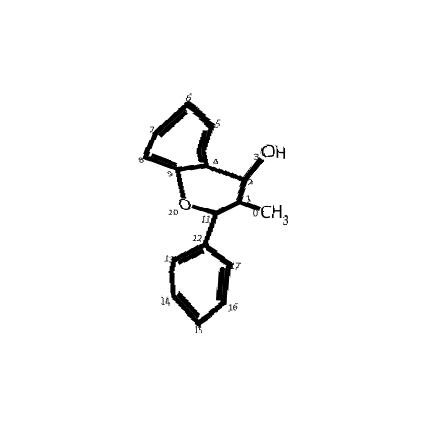 CC1C(O)c2ccccc2OC1c1ccccc1